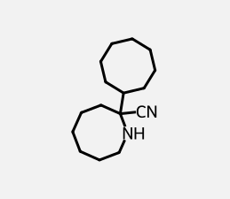 N#CC1(C2CCCCCCC2)CCCCCCN1